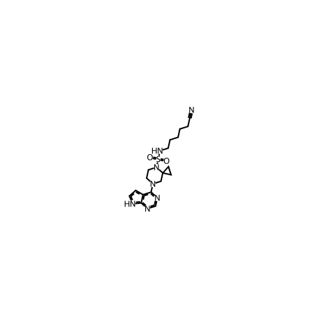 N#CCCCCCNS(=O)(=O)N1CCN(c2ncnc3[nH]ccc23)CC12CC2